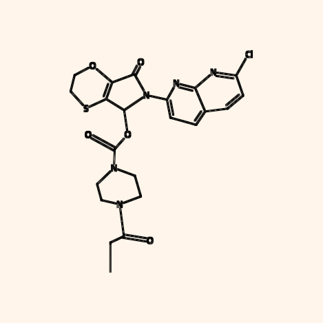 CCC(=O)N1CCN(C(=O)OC2C3=C(OCCS3)C(=O)N2c2ccc3ccc(Cl)nc3n2)CC1